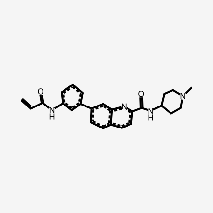 C=CC(=O)Nc1cccc(-c2ccc3ccc(C(=O)NC4CCN(C)CC4)nc3c2)c1